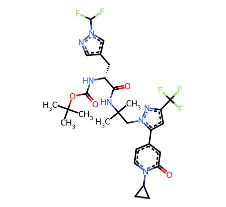 CC(C)(Cn1nc(C(F)(F)F)cc1-c1ccn(C2CC2)c(=O)c1)NC(=O)[C@@H](Cc1cnn(C(F)F)c1)NC(=O)OC(C)(C)C